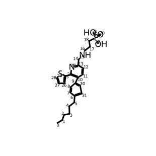 CCCCCCc1ccc(-c2ccc(CNCCCP(=O)(O)O)nc2-c2cccs2)cc1